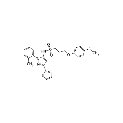 COc1ccc(OCCCS(=O)(=O)Nc2cc(-c3cccs3)nn2-c2ccccc2C)cc1